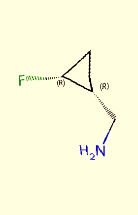 NC[C@H]1C[C@H]1F